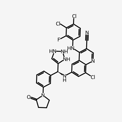 N#Cc1cnc2c(Cl)cc(N[C@H](C3=CNNN3)c3cccc(N4CCCC4=O)c3)cc2c1Nc1ccc(Cl)c(Cl)c1F